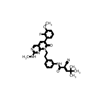 CNc1ncc2cc(-c3cccc(OC)c3F)c(=O)n(CCc3cccc(NC(=O)/C(C#N)=C/C(C)(C)C)c3)c2n1